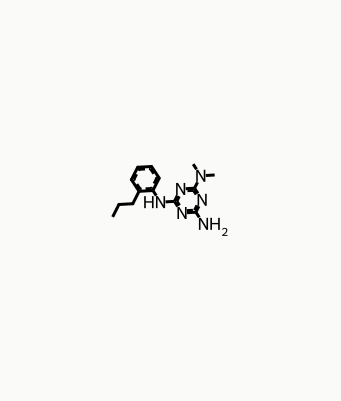 CCCc1ccccc1Nc1nc(N)nc(N(C)C)n1